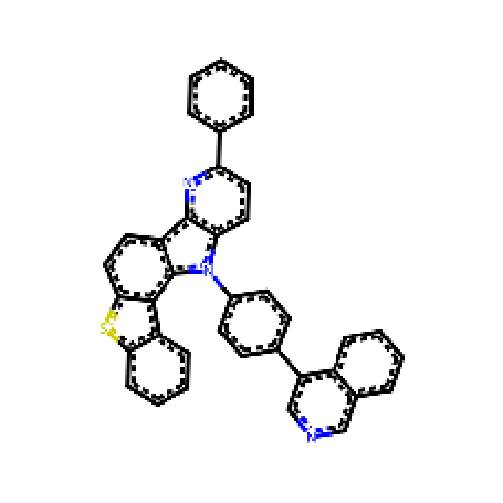 c1ccc(-c2ccc3c(n2)c2ccc4sc5ccccc5c4c2n3-c2ccc(-c3cncc4ccccc34)cc2)cc1